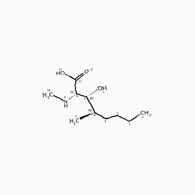 CCCC[C@@H](C)[C@@H](O)[C@H](NC)C(=O)O